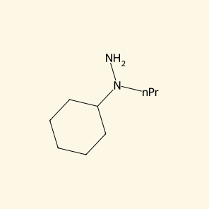 CCCN(N)C1CCCCC1